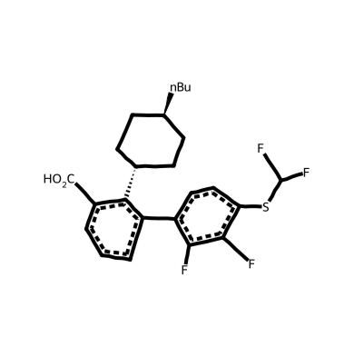 CCCC[C@H]1CC[C@H](c2c(C(=O)O)cccc2-c2ccc(SC(F)F)c(F)c2F)CC1